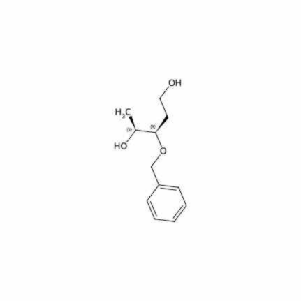 C[C@H](O)[C@@H](CCO)OCc1ccccc1